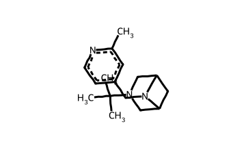 Cc1cc(CN2C3CC2CN(C(C)(C)C)C3)ccn1